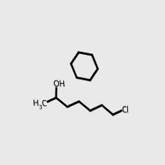 C1CCCCC1.CC(O)CCCCCCl